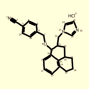 Cl.N#Cc1ccc(COC2c3cccc4c3C(CCC4)CC2Cn2ccnc2)cc1